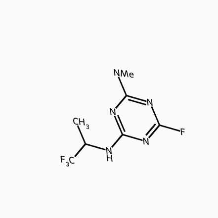 CNc1nc(F)nc(NC(C)C(F)(F)F)n1